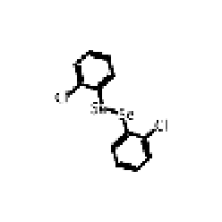 Clc1ccccc1[Se][Se]c1ccccc1Cl